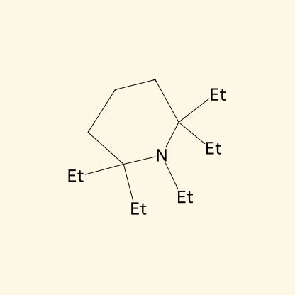 CCN1C(CC)(CC)CCCC1(CC)CC